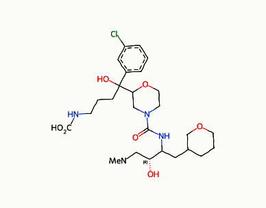 CNC[C@@H](O)C(CC1CCCOC1)NC(=O)N1CCOC(C(O)(CCCNC(=O)O)c2cccc(Cl)c2)C1